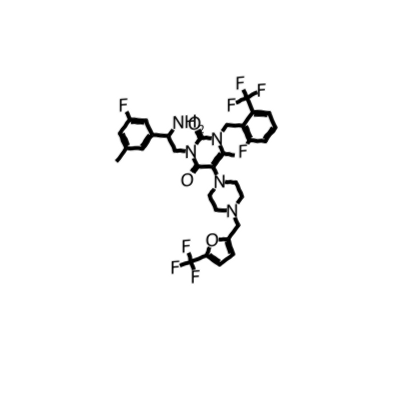 Cc1cc(F)cc(C(N)Cn2c(=O)c(N3CCN(Cc4ccc(C(F)(F)F)o4)CC3)c(C)n(Cc3c(F)cccc3C(F)(F)F)c2=O)c1